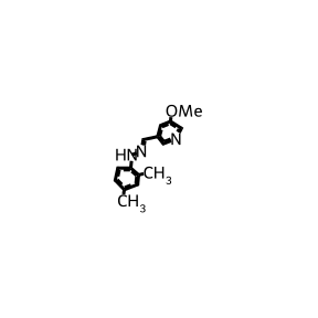 COc1cncc(/C=N/Nc2ccc(C)cc2C)c1